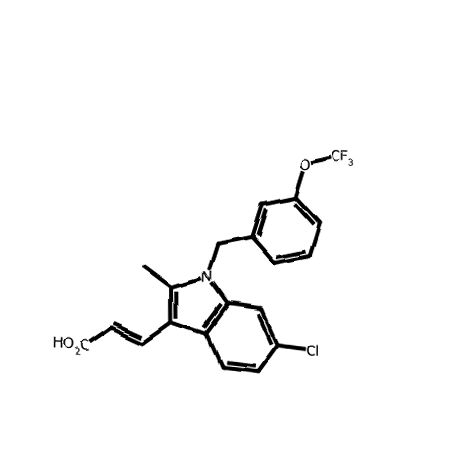 Cc1c(/C=C/C(=O)O)c2ccc(Cl)cc2n1Cc1cccc(OC(F)(F)F)c1